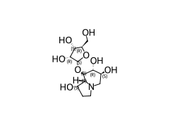 OC[C@H]1O[C@H](O[C@H]2[C@H](O)[C@@H](O)CN3CC[C@H](O)[C@H]23)[C@H](O)[C@@H]1O